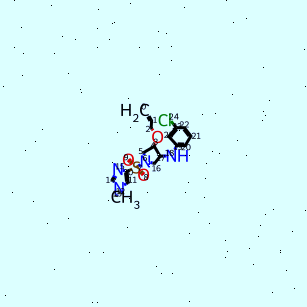 C=CCOC1CN(S(=O)(=O)c2cn(C)cn2)CC1Nc1cccc(Cl)c1